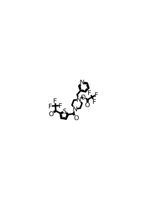 O=C(c1ccc(C(=O)C(F)(F)F)s1)N1CC[N+](Cc2cccnc2)(OC(=O)C(F)(F)F)CC1